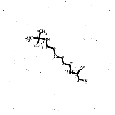 CC(C)(C)NCCOCCCNC(=O)CO